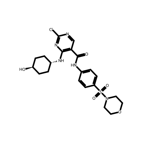 O=C(Nc1ccc(S(=O)(=O)N2CCOCC2)cc1)c1cnc(Cl)nc1N[C@H]1CC[C@H](O)CC1